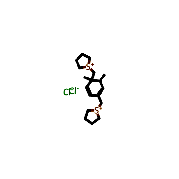 CC1C=C(C[S+]2CCCC2)C=CC1(C)C[S+]1CCCC1.[Cl-].[Cl-]